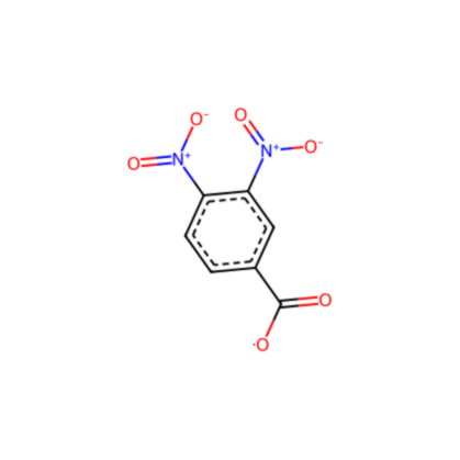 [O]C(=O)c1ccc([N+](=O)[O-])c([N+](=O)[O-])c1